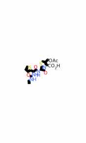 C=CNC(=O)NC(C(=O)N[C@H]1C(=O)N2C(C(=O)O)=C(COC(C)=O)CSC12)c1cccs1